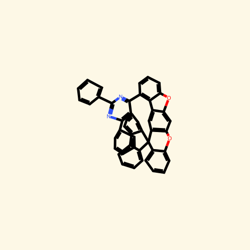 c1ccc(-c2cc(-c3cccc4oc5cc6c(cc5c34)C3(c4ccccc4O6)c4ccccc4-c4ccccc43)nc(-c3ccccc3)n2)cc1